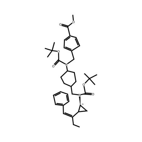 CCC(=Cc1ccccc1)C1C[C@@H]1N(CC1CCC(N(Cc2ccc(C(=O)OC)cc2)C(=O)OC(C)(C)C)CC1)C(=O)OC(C)(C)C